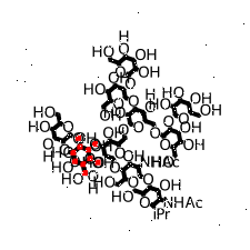 CC(=O)NC1C(OC2C(CO)OC(C(C)C)C(NC(C)=O)C2O)OC(CO)C(OC2OC(COC3OC(COC4OC(CO)C(O)C(O)C4OC4OC(CO)C(O)C(O)C4O)C(O)C(OC4OC(CO)C(O)C(O)C4OC4OC(CO)C(O)C(O)C4O)C3O)C(O)C(OC3OC(CO)C(O)C(O)C3OC3OC(CO)C(O)C(O)C3OC3OC(CO)C(O)C(O)C3O)C2O)C1O